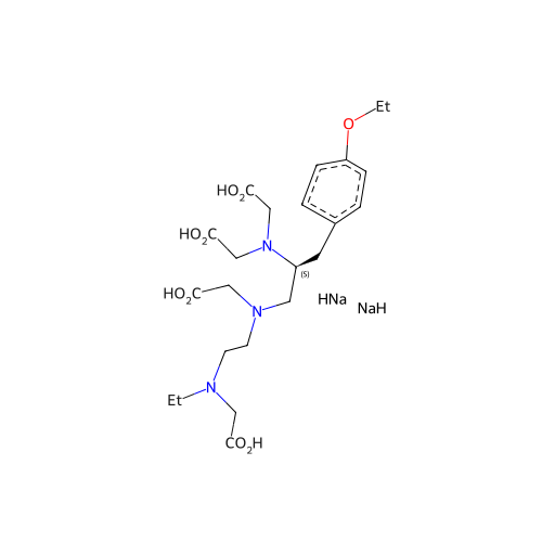 CCOc1ccc(C[C@@H](CN(CCN(CC)CC(=O)O)CC(=O)O)N(CC(=O)O)CC(=O)O)cc1.[NaH].[NaH]